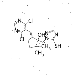 CC1(C)CC/C(=C\c2c(Cl)ncnc2Cl)C1(O)Cn1ncnc1S